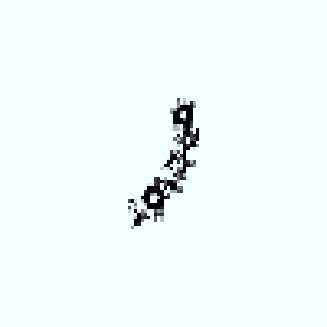 CC(=O)Nc1ccc(NC(=O)N2CCN(c3nc(-c4ccccc4)ns3)CC2)cc1